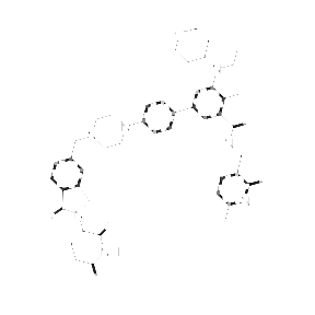 CCN(c1cc(-c2ccc(N3CCN(Cc4ccc5c(c4)CN(C4CCC(=O)NC4=O)C5=O)CC3)cc2)cc(C(=O)NCc2c(C)cc(C)[nH]c2=O)c1C)C1CCOCC1